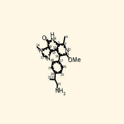 COc1nc(C)c2[nH]c(=O)c3c(ncn3C)c2c1-c1ccc(C(C)CN)cc1